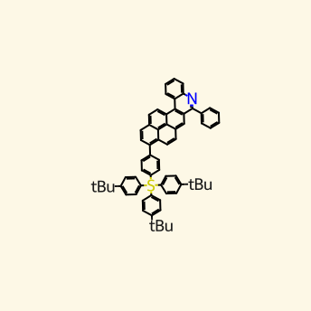 CC(C)(C)c1ccc(S(c2ccc(-c3ccc4ccc5c6c(cc7ccc3c4c75)c(-c3ccccc3)nc3ccccc36)cc2)(c2ccc(C(C)(C)C)cc2)c2ccc(C(C)(C)C)cc2)cc1